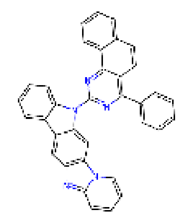 c1ccc(-c2nc(-n3c4ccccc4c4cc5nc6ccccn6c5cc43)nc3c2ccc2ccccc23)cc1